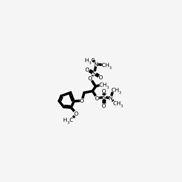 COc1ccccc1OCC(OS(=O)(=O)N(C)C)C(C)OS(=O)(=O)N(C)C